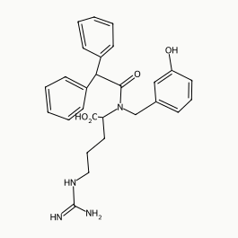 N=C(N)NCCCC(C(=O)O)N(Cc1cccc(O)c1)C(=O)C(c1ccccc1)c1ccccc1